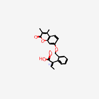 C/C=C(/C(=O)O)c1ccccc1COc1ccc2c(C)c(C)c(=O)oc2c1